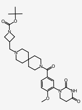 COc1ccc(C(=O)N2CCC3(CCN(CC4CN(C(=O)OC(C)(C)C)C4)CC3)CC2)cc1N1CCC(=O)NC1=O